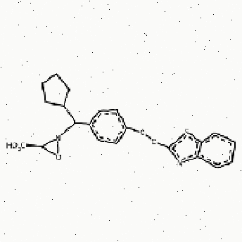 O=C(O)[C@@H]1ON1C(c1ccc(OCc2nc3ccccc3s2)cc1)C1CCCC1